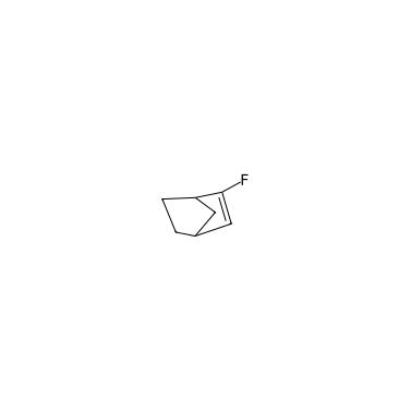 FC1=CC2CCC1C2